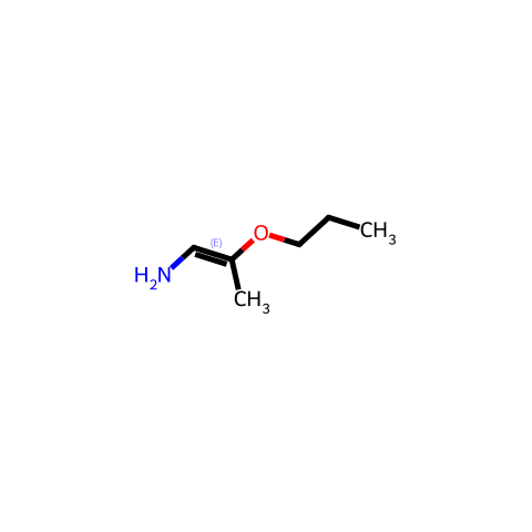 CCCO/C(C)=C/N